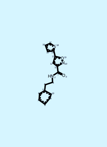 O=C(NCCc1ccccc1)c1cc(-c2cccs2)on1